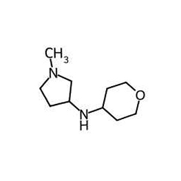 CN1CCC(NC2CCOCC2)C1